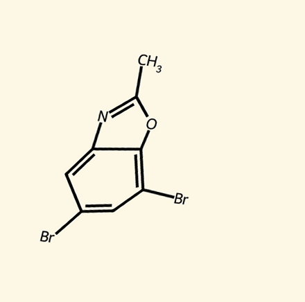 Cc1nc2cc(Br)cc(Br)c2o1